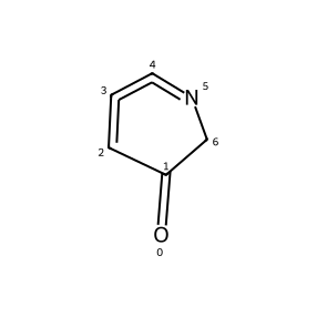 O=C1C=C=C=NC1